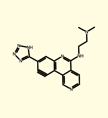 CN(C)CCNc1nc2cc(-c3nnn[nH]3)c#cc2c2cnccc12